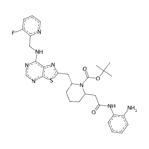 CC(C)(C)OC(=O)N1C(CC(=O)Nc2ccccc2N)CCCC1Cc1nc2c(NCc3ncccc3F)ncnc2s1